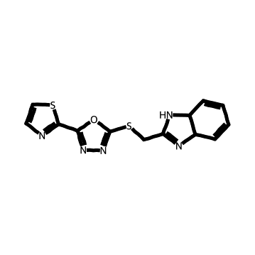 C1=CC2N=C(CSc3nnc(-c4nccs4)o3)NC2C=C1